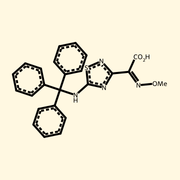 CON=C(C(=O)O)c1nsc(NC(c2ccccc2)(c2ccccc2)c2ccccc2)n1